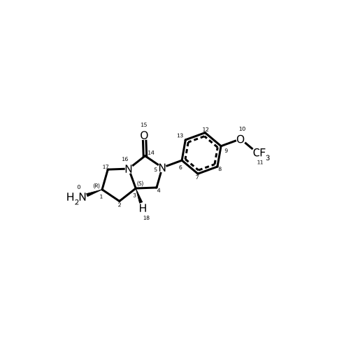 N[C@@H]1C[C@H]2CN(c3ccc(OC(F)(F)F)cc3)C(=O)N2C1